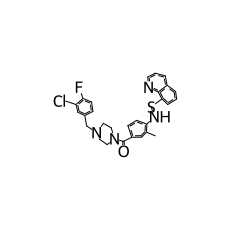 Cc1cc(C(=O)N2CCN(Cc3ccc(F)c(Cl)c3)CC2)ccc1NSc1cccc2cccnc12